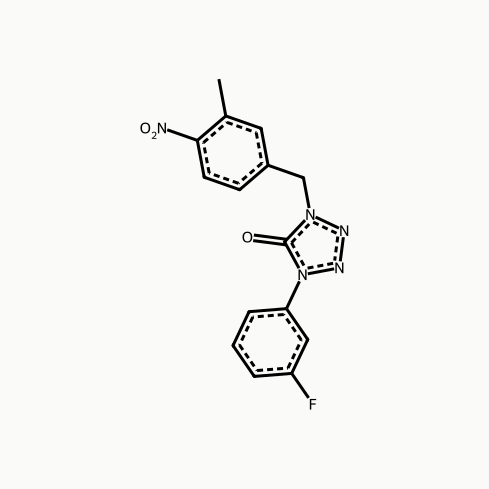 Cc1cc(Cn2nnn(-c3cccc(F)c3)c2=O)ccc1[N+](=O)[O-]